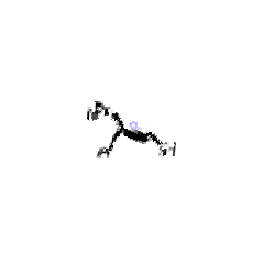 CCC/C(=C/S)C(C)C